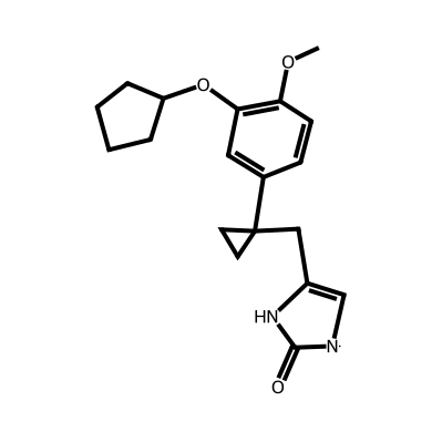 COc1ccc(C2(CC3=C[N]C(=O)N3)CC2)cc1OC1CCCC1